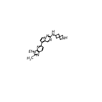 CCn1c(C)nc2ccc(-c3ccn4nc(NC5CC6(CNC6)C5)ncc34)nc21